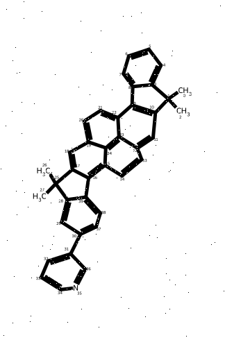 CC1(C)c2ccccc2-c2c1cc1ccc3c4c(cc5ccc2c1c53)C(C)(C)c1cc(-c2cccnc2)ccc1-4